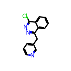 Clc1nnc(Cc2cccnc2)c2ccccc12